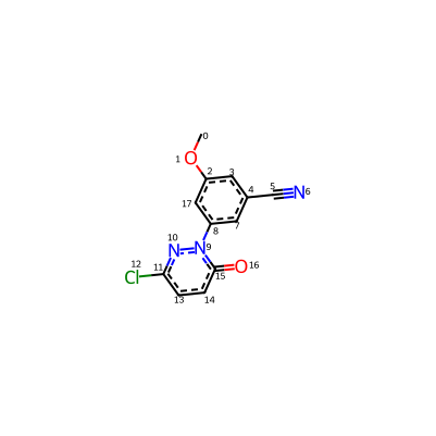 COc1cc(C#N)cc(-n2nc(Cl)ccc2=O)c1